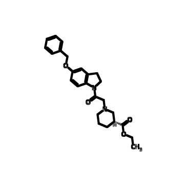 CCOC(=O)[C@@H]1CCCN(CC(=O)N2CCc3cc(OCc4ccccc4)ccc32)C1